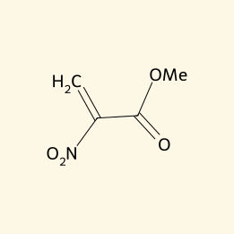 C=C(C(=O)OC)[N+](=O)[O-]